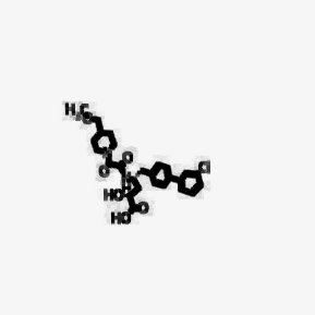 COCC1CCN(C(=O)C(=O)N[C@H](Cc2ccc(-c3cccc(Cl)c3)cc2)C[C@@H](O)C(=O)O)CC1